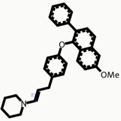 COc1ccc2c(Oc3ccc(C/C=C/N4CCCCC4)cc3)c(-c3ccccc3)ccc2c1